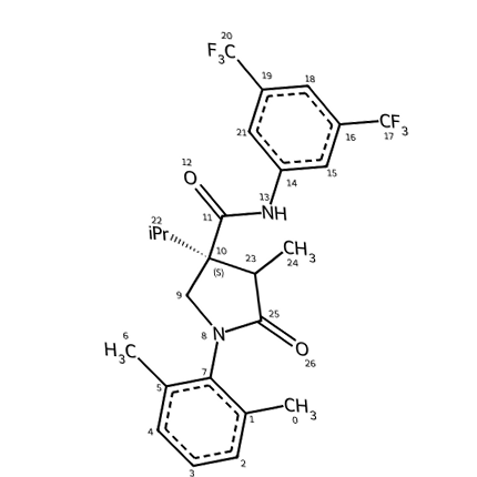 Cc1cccc(C)c1N1C[C@](C(=O)Nc2cc(C(F)(F)F)cc(C(F)(F)F)c2)(C(C)C)C(C)C1=O